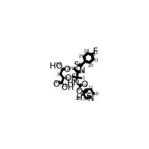 CC(C)(NC(=O)O[C@H]1CN2CCC1CC2)c1csc(-c2ccc(F)cc2)n1.O=C(O)C[C@H](O)C(=O)O